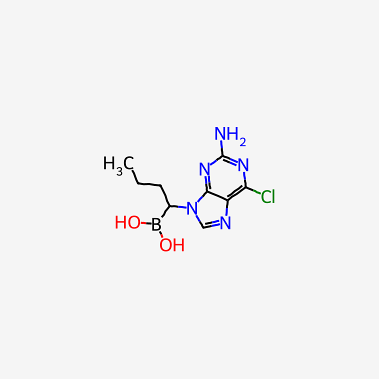 CCCC(B(O)O)n1cnc2c(Cl)nc(N)nc21